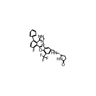 Cn1cnnc1-c1c(-c2ccccc2)ccc(F)c1-c1nc2cc(CNC[C@@H]3CCC(=O)N3)cc(C(F)(F)F)c2o1